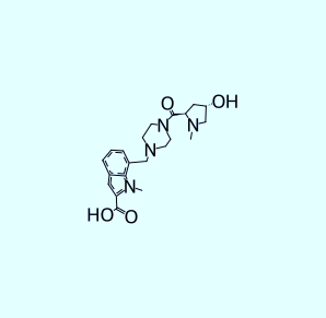 CN1C[C@@H](O)C[C@@H]1C(=O)N1CCN(Cc2cccc3cc(C(=O)O)n(C)c23)CC1